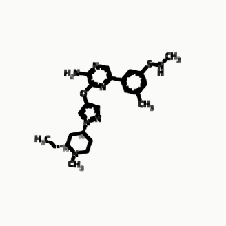 CC[C@@H]1C[C@@H](n2cc(Oc3nc(-c4cc(C)cc(SNC)c4)cnc3N)cn2)CCN1C